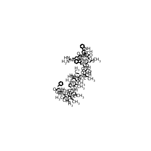 CC[C@H](C)[C@H](NC(=O)[C@H](CO)NC(=O)[C@H](Cc1c[nH]c2ccccc12)NC(=O)[C@H](CCSC)NC(=O)[C@@H](NC(=O)[C@H](Cc1c[nH]c2ccccc12)NC(=O)[C@@H](N)CCCNC(=N)N)[C@@H](C)O)C(=O)N[C@@H](CC(C)C)C(=O)N[C@H](C(=O)N[C@H](C(=O)N1CCC[C@H]1C(=O)N[C@@H](CC(C)C)C(=O)N[C@H](C(=O)N[C@H](C(=O)N[C@@H](C)C(=O)N[C@@H](Cc1ccccc1)C(=O)O)C(C)C)[C@@H](C)CC)C(C)C)[C@@H](C)O